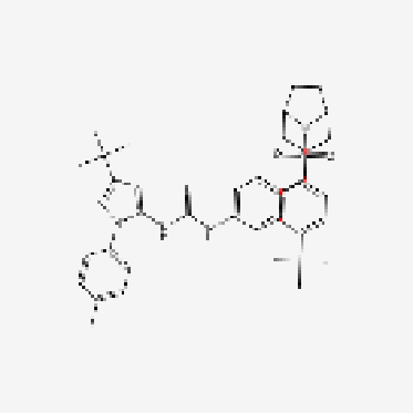 Cc1ccc(-n2nc(C(C)(C)C)cc2NC(=O)Nc2ccc(CC3CC4CCC(C3)N4S(=O)(=O)c3ccc(C(C)(C)C)cc3)cc2)cc1